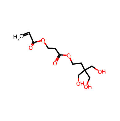 C=CC(=O)OCCC(=O)OCCC(CO)(CO)CO